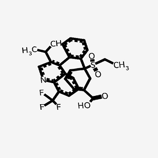 CCS(=O)(=O)C1(c2ccccc2-c2c(C(C)C)cnc3c(C(F)(F)F)cccc23)C=CC=C(C(=O)O)C1